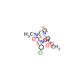 CCn1c(=O)/c(=C2\Sc3cc(Cl)ccc3N2C)s/c1=C\c1scc[n+]1Cc1ccc(C(=O)OC)o1